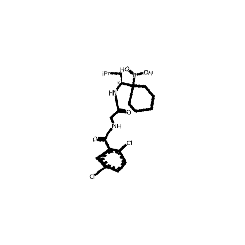 CC(C)C[C@H](NC(=O)CNC(=O)c1cc(Cl)ccc1Cl)C1(B(O)O)CCCCC1